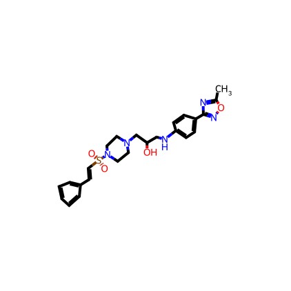 Cc1nc(-c2ccc(NCC(O)CN3CCN(S(=O)(=O)C=Cc4ccccc4)CC3)cc2)no1